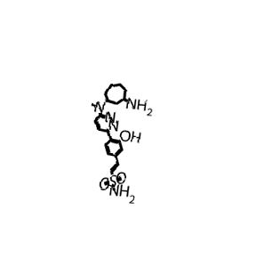 CN(c1ccc(-c2ccc(/C=C/S(N)(=O)=O)cc2O)nn1)[C@H]1CCCCC(N)C1